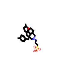 Cc1ccc(CC2(Cc3ccc(C)cc3)CN(CCCS(=O)(=O)O)Cc3ccccc32)cc1